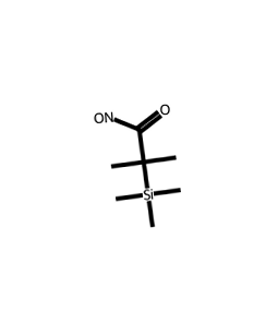 CC(C)(C(=O)N=O)[Si](C)(C)C